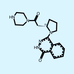 O=C(C[C@@H]1CCCN1c1n[nH]c(=O)c2ccccc12)N1CCNCC1